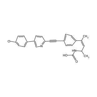 C/C(=C/C(C)NC(=O)O)c1ccc(C#Cc2ccc(-c3ccc(Cl)cc3)cn2)cc1